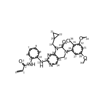 C=CC(=O)Nc1ccccc1Nc1ncc2c(n1)N(CC1CC1)C(=O)N(c1cc(OC)cc(OC)c1Cl)C2